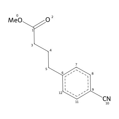 COC(=O)CCCc1ccc(C#N)cc1